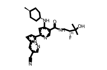 CC(C)(O)[C@H](F)CNC(=O)c1cnc(-c2ccc3cc(C#N)cnn23)cc1N[C@H]1CC[C@H](C)CC1